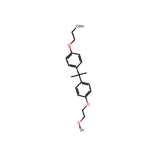 COCCOc1ccc(C(C)(C)c2ccc(OCCOC(C)C)cc2)cc1